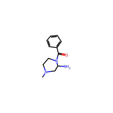 CN1CCN(C(=O)c2ccccc2)C(N)C1